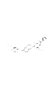 Nc1nc(N2CCN3CC(COc4cc(C(F)(F)F)ncn4)CCC3C2)nc2nc(-c3ccco3)nn12